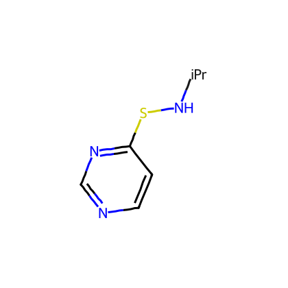 CC(C)NSc1ccncn1